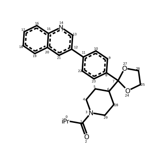 CC(C)C(=O)N1CCC(C2(c3ccc(-c4cnc5ccccc5c4)cc3)OCCO2)CC1